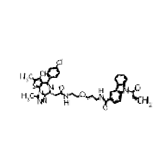 C=CC(=O)n1c2ccccc2c2cc(C(=O)NCCCOCCNC(=O)C[C@@H]3N=C(c4ccc(Cl)cc4)c4c(sc(C)c4C)-n4c(C)nnc43)ccc21